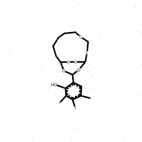 Oc1c(C2OC3CCCCCCCCC(CC3)O2)cc(I)c(I)c1I